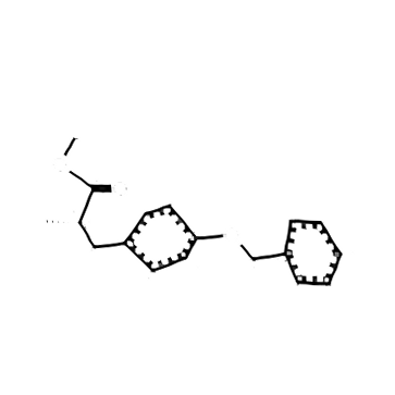 COC(=O)[C@@H](C)Cc1ccc(OCc2ccccc2)cc1